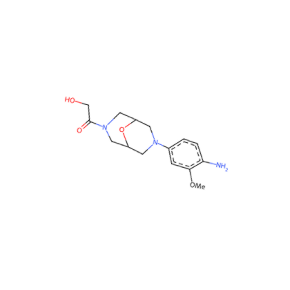 COc1cc(N2CC3CN(C(=O)CO)CC(C2)O3)ccc1N